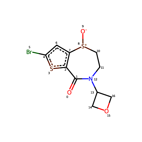 O=C1c2sc(Br)cc2[S+]([O-])CCN1C1COC1